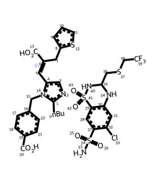 CCCCc1ncc(/C=C(\Cc2cccs2)C(=O)O)n1Cc1ccc(C(=O)O)cc1.NS(=O)(=O)c1cc2c(cc1Cl)NC(CSCC(F)(F)F)NS2(=O)=O